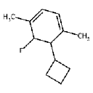 CC1=CC=C(C)C(C2CCC2)C1F